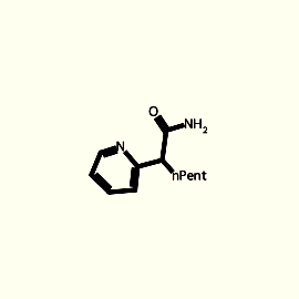 CCCCCC(C(N)=O)c1ccccn1